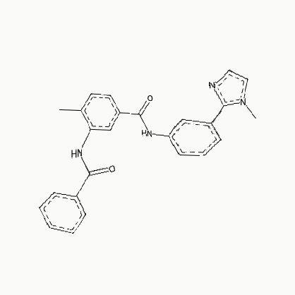 Cc1ccc(C(=O)Nc2cccc(-c3nccn3C)c2)cc1NC(=O)c1ccccc1